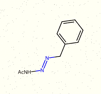 CC(=O)NN=NCc1ccccc1